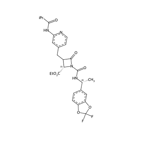 CCOC(=O)[C@@H]1C(Cc2ccnc(NC(=O)C(C)C)c2)C(=O)N1C(=O)N[C@H](C)c1ccc2c(c1)OC(F)(F)O2